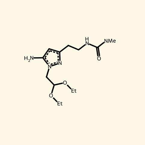 CCOC(Cn1nc(CCNC(=O)NC)cc1N)OCC